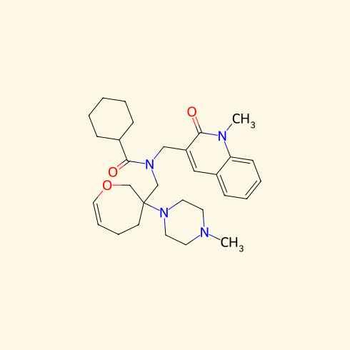 CN1CCN(C2(CN(Cc3cc4ccccc4n(C)c3=O)C(=O)C3CCCCC3)CCC=COC2)CC1